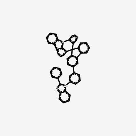 c1ccc(-c2nc3ccccc3n2-c2cccc(-c3ccc4c(c3)-c3ccccc3C43c4ccccc4-n4c5ccccc5c5cccc3c54)c2)cc1